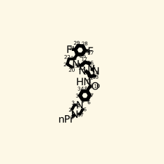 CCCN1CCN(c2ccc(C(=O)Nc3cnn4ccc(N5CCCC5c5cc(F)ccc5F)nc34)cc2)CC1